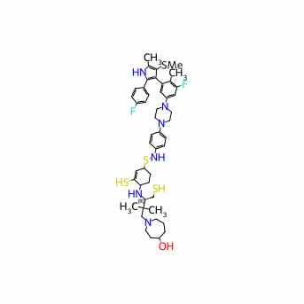 CSc1c(C)[nH]c(-c2ccc(F)cc2)c1-c1cc(N2CCN(c3ccc(NSC4C=C(S)C(N[C@@H](CS)C(C)(C)CN5CCCC(O)CC5)CC4)cc3)CC2)cc(F)c1C